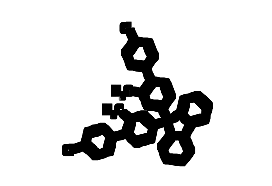 Cc1cc(C2(c3ccc(-c4ccc(Cl)cc4)c(C)c3)c3ccccc3-c3ccccc32)ccc1-c1ccc(Cl)cc1